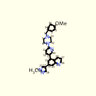 COc1ccc(CN2CCN(c3ccc(-c4cc(-c5cnn(C)c5)cc5ncccc45)cn3)CC2)cc1